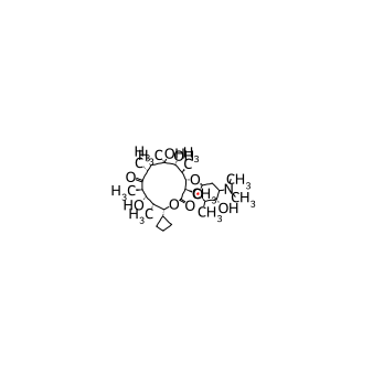 CC1O[C@@H](O[C@H]2[C@H](C)[C@@H](O)[C@](C)(O)C[C@@H](C)C(=O)[C@H](C)[C@@H](O)[C@@H](C)[C@@H](C3CCC3)OC(=O)[C@@H]2C)CC(N(C)C)[C@@H]1O